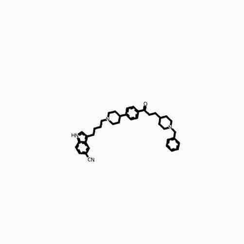 N#Cc1ccc2[nH]cc(CCCCN3CCC(c4ccc(C(=O)CCC5CCN(Cc6ccccc6)CC5)cc4)CC3)c2c1